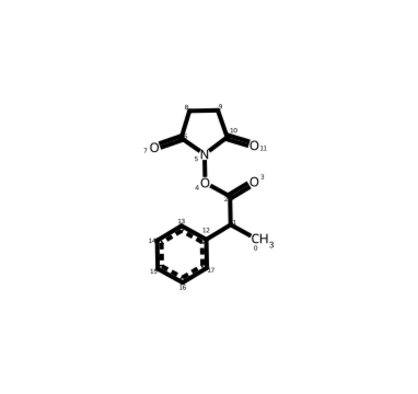 CC(C(=O)ON1C(=O)CCC1=O)c1ccccc1